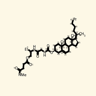 CCC(COC(=O)CCC(=O)NC)NC(=O)CNC(=O)O[C@H]1CC[C@@]2(C)C(=CCC3C2CC[C@@]2(C)C3CC[C@@H]2[C@H](C)CCCC(C)C)C1